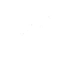 O=[C]Oc1c(C(=O)Oc2ccccc2)ccc2ccccc12